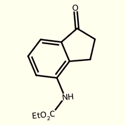 CCOC(=O)Nc1cccc2c1CCC2=O